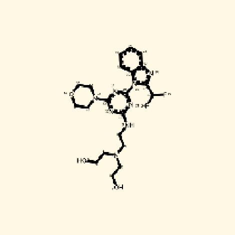 OCCN(CCO)CCNc1nc(N2CCOCC2)nc(-n2c(C(F)F)nc3ccccc32)n1